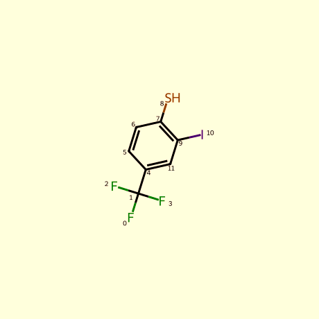 FC(F)(F)c1ccc(S)c(I)c1